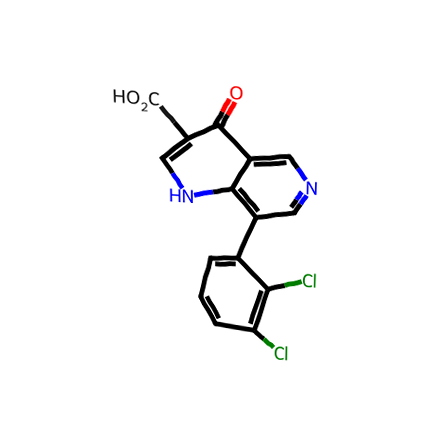 O=C(O)c1c[nH]c2c(-c3cccc(Cl)c3Cl)cncc2c1=O